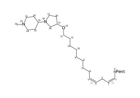 CCCCC/C=C\C/C=C\CCCCCCCCOC1CCN(C2CCN(C)CC2)C1